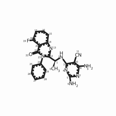 C[C@H](Nc1nc(N)nc(N)c1C#N)c1nc2cccc(F)c2c(=O)n1-c1ccccc1